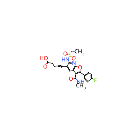 CCS(=O)(=O)Nc1nc2oc(-c3ccc(F)cc3)c(C(=O)NC)c2cc1C#CCCC(=O)O